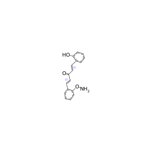 NOc1ccccc1/C=C/C(=O)/C=C/c1ccccc1O